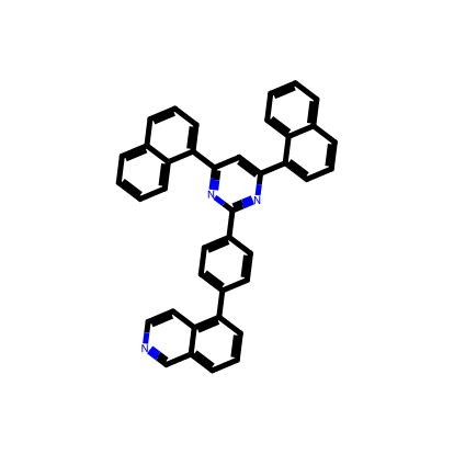 c1cc(-c2ccc(-c3nc(-c4cccc5ccccc45)cc(-c4cccc5ccccc45)n3)cc2)c2ccncc2c1